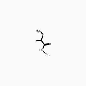 CNC(=O)C(F)OC